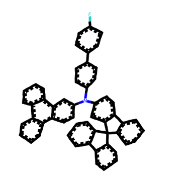 Fc1ccc(-c2ccc(N(c3ccc4c(c3)C3(c5ccccc5-c5ccccc53)c3ccccc3-4)c3ccc4c5ccccc5c5ccccc5c4c3)cc2)cc1